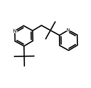 CC(C)(C)c1cncc(CC(C)(C)c2ccccn2)c1